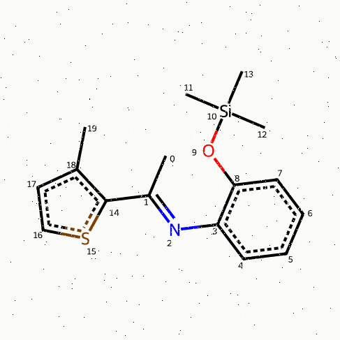 CC(=Nc1ccccc1O[Si](C)(C)C)c1sccc1C